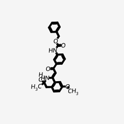 COc1ccc2c(c1)C(=CC(=O)c1cccc(NC(=O)OCc3ccccc3)c1)NC(C)(C)C2